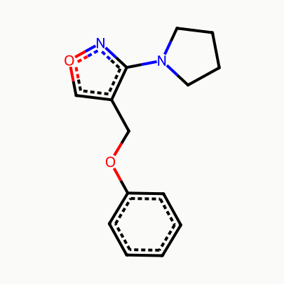 c1ccc(OCc2conc2N2CCCC2)cc1